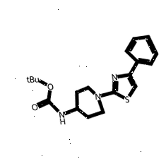 CC(C)(C)OC(=O)NC1CCN(c2nc(-c3ccccc3)cs2)CC1